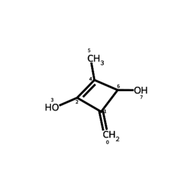 C=C1C(O)=C(C)C1O